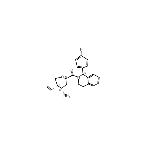 C=C[C@@H]1CO[C@@H](C(=O)N2CCc3ccccc3[C@@H]2c2ccc(F)cc2)C[C@@H]1N